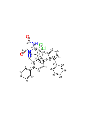 CC1=Cc2c(-c3ccccc3)cccc2[CH]1[Zr]([Cl])([Cl])([CH]1C(C)=Cc2c(-c3ccccc3)cccc21)[In]([NH]C=O)[NH]C=O